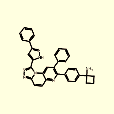 NC1(c2ccc(-c3nc4ccc5nnc(-c6cc(-c7ccccc7)n[nH]6)n5c4cc3-c3ccccc3)cc2)CCC1